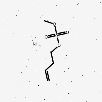 C=CCCOS(=O)(=O)OC.N